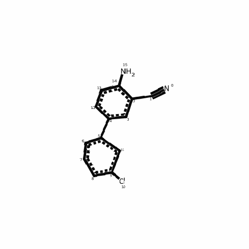 N#Cc1cc(-c2cccc(Cl)c2)ccc1N